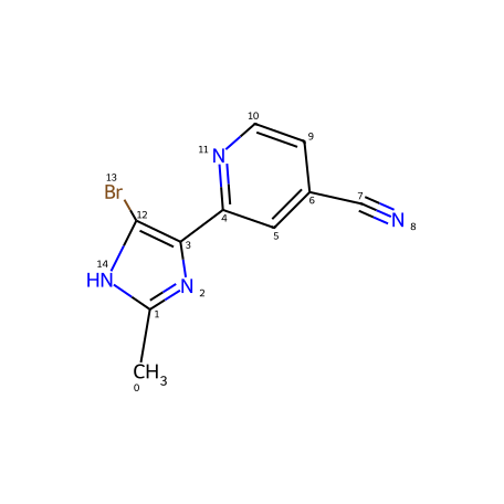 Cc1nc(-c2cc(C#N)ccn2)c(Br)[nH]1